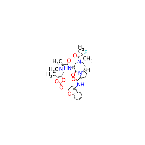 Cc1oc(=O)oc1CN(C)[C@@H](C)C(=O)N[C@H]1CN(C(=O)C(C)(C)F)CC[C@H]2CC[C@@H](C(=O)N[C@@H]3CCOc4ccccc43)N2C1=O